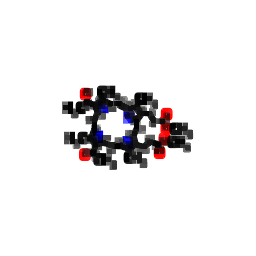 COC(=O)CCC1=C(C)/C2=C/C3N=C(CC4=NC(/C=C5\N=C(CC1=N2)C(CCC(=O)OC)=C5C)C(C(C)=O)=C4C)C(C(C)=O)=C3C